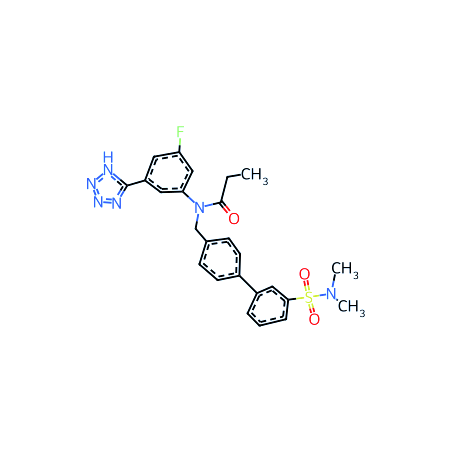 CCC(=O)N(Cc1ccc(-c2cccc(S(=O)(=O)N(C)C)c2)cc1)c1cc(F)cc(-c2nnn[nH]2)c1